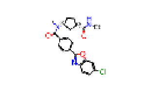 CCNC(=O)[C@H]1CC[C@@H](N(C)C(=O)c2ccc(-c3nc4ccc(Cl)cc4o3)cc2)C1